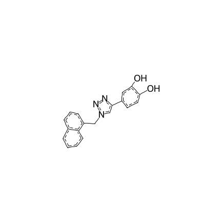 Oc1ccc(-c2cn(Cc3cccc4ccccc34)nn2)cc1O